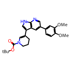 COc1ccc(-c2cnc3[nH]cc(C4=CN(C(=O)OC(C)(C)C)CCC4)c3c2)cc1OC